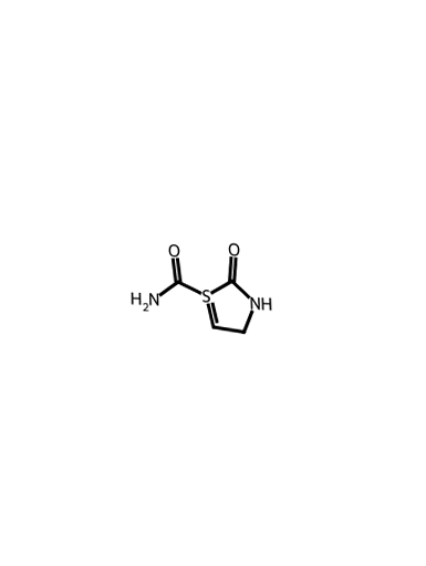 NC(=O)S1=CCNC1=O